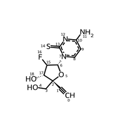 C#C[C@]1(CO)O[C@@H](n2ccc(N)nc2=S)C(F)[C@H]1O